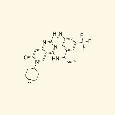 C=CC(Nc1nc(C)nc2cc(=O)n(C3CCOCC3)cc12)c1cc(N)cc(C(F)(F)F)c1